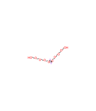 OCCOCCOCCOCCO[Te](I)(I)OCCOCCOCCOCCO